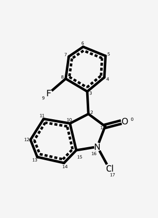 O=C1C(c2ccccc2F)c2ccccc2N1Cl